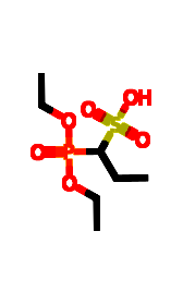 CCOP(=O)(OCC)C(CC)S(=O)(=O)O